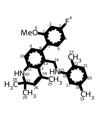 COc1cc(F)ccc1-c1ccc2c(c1CNc1cc(C)ccc1C)C(C)=CC(C)(C)N2